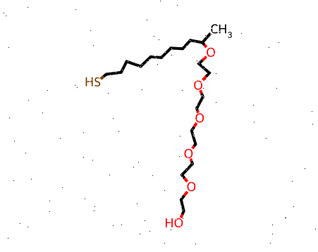 CC(CCCCCCCCCS)OCCOCCOCCOCCOCCO